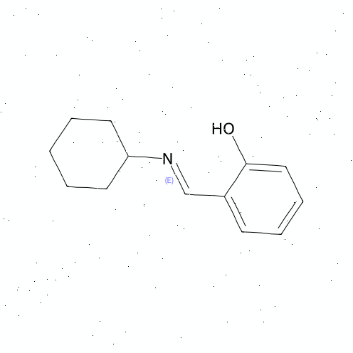 Oc1ccccc1/C=N/C1CCCCC1